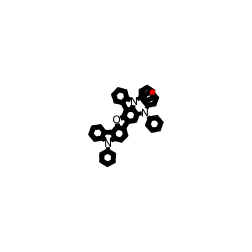 c1ccc(N(c2ccccc2)c2cc3c4ccc5c(c6ccccc6n5-c5ccccc5)c4oc3c3c4ccccc4n(-c4ccccc4)c23)cc1